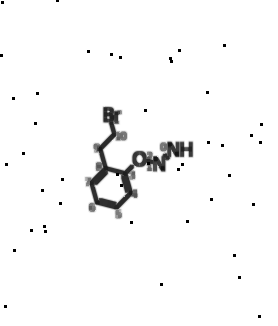 N=NOc1ccccc1CCBr